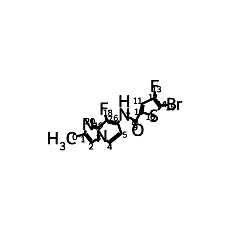 Cc1cn2ccc(NC(=O)c3cc(F)c(Br)s3)c(F)c2n1